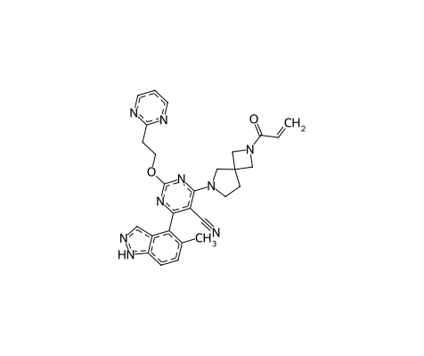 C=CC(=O)N1CC2(CCN(c3nc(OCCc4ncccn4)nc(-c4c(C)ccc5[nH]ncc45)c3C#N)C2)C1